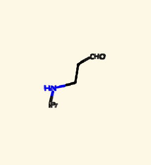 CC(C)NCCC=O